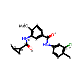 COc1ccc(C(=O)Nc2ccc(C)c(Cl)c2)cc1NC(=O)C1CC1C